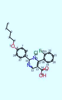 CCCCCOc1ccc(C2N=CC(C(=O)O)=C(c3ccccc3F)N2Cl)cc1